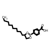 CCCCCCCCCCC1COB(c2ccc(C(=O)O)cc2)O1